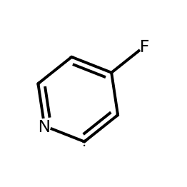 Fc1c[c]ncc1